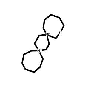 C1CCC[N+]2(CCC1)CC[N+]1(CCCCCCC1)CC2